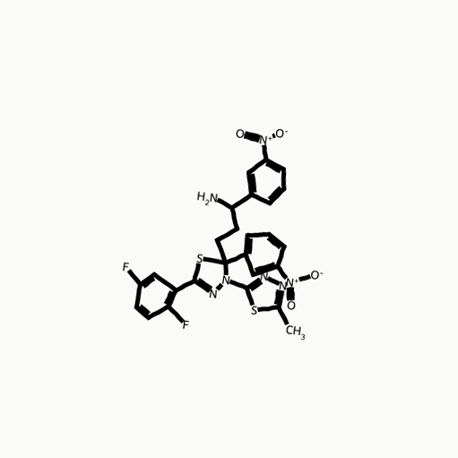 Cc1nnc(N2N=C(c3cc(F)ccc3F)SC2(CCC(N)c2cccc([N+](=O)[O-])c2)c2cccc([N+](=O)[O-])c2)s1